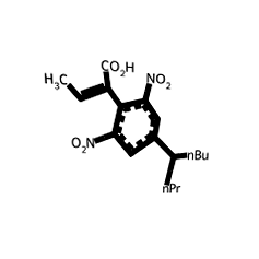 CC=C(C(=O)O)c1c([N+](=O)[O-])cc(C(CCC)CCCC)cc1[N+](=O)[O-]